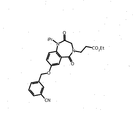 CCOC(=O)CCN1CC(=O)N(C(C)C)c2ccc(OCc3cccc(C#N)c3)cc2C1=O